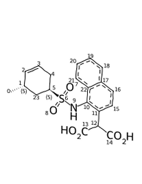 C[C@@H]1C=CC[C@@H](S(=O)(=O)Nc2c(C(C(=O)O)C(=O)O)ccc3ccccc23)C1